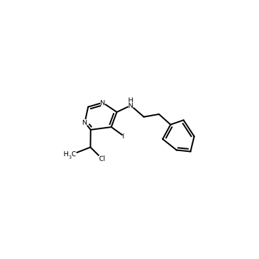 CC(Cl)c1ncnc(NCCc2ccccc2)c1I